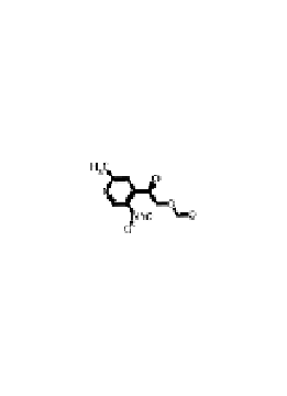 Cc1cc(C(=O)COC=O)c([N+](=O)[O-])cn1